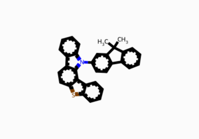 CC1(C)c2ccccc2-c2ccc(-n3c4ccccc4c4ccc5sc6ccccc6c5c43)cc21